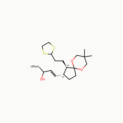 CCCCCC(O)C=C[C@H]1CCC2(OCC(C)(C)CO2)[C@@H]1CCC1SCCS1